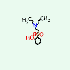 C=CCN(CC=C)CCS(=O)(=O)c1ccccc1O